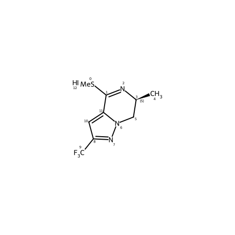 CSC1=N[C@@H](C)Cn2nc(C(F)(F)F)cc21.I